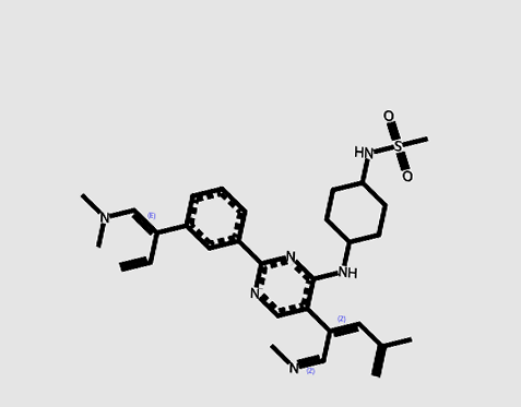 C=C/C(=C\N(C)C)c1cccc(-c2ncc(C(/C=N\C)=C/C(=C)C)c(NC3CCC(NS(C)(=O)=O)CC3)n2)c1